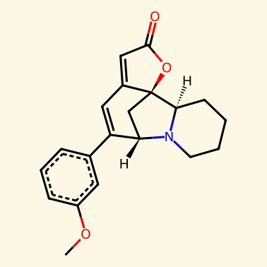 COc1cccc(C2=CC3=CC(=O)O[C@@]34C[C@@H]2N2CCCC[C@@H]24)c1